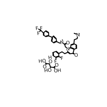 CN(C)CCc1ccc2c(=O)cc(CCc3cccc(F)c3F)n(CC(=O)N(C)Cc3ccc(-c4ccc(C(F)(F)F)cc4)cc3)c2c1.O=C(O)C(O)C(O)C(=O)O